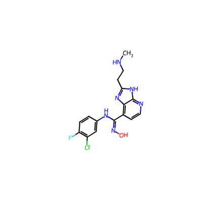 CNCCc1nc2c(/C(=N\O)Nc3ccc(F)c(Cl)c3)ccnc2[nH]1